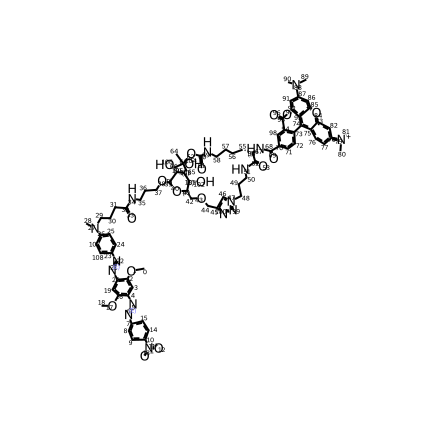 COc1cc(/N=N/c2ccc([N+](=O)[O-])cc2)c(OC)cc1/N=N/c1ccc(N(C)CCCC(=O)NCCCO[C@@H]2O[C@H](COCc3cn(CCCNC(=O)[C@H](CCCCNC(=O)OC(C)(C)C)NC(=O)c4ccc(-c5c6ccc(=[N+](C)C)cc-6oc6cc(N(C)C)ccc56)c(C(=O)[O-])c4)nn3)[C@@H](O)[C@H](O)[C@H]2O)cc1